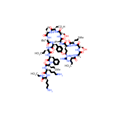 CC[C@H](C)[C@H](NC(=O)[C@H](CC(C)C)NC(=O)[C@H](CC(=O)O)NC(=O)[C@H](CO)NC(=O)[C@@H](NC(=O)[C@H](CCCNC(=N)N)NC(=O)[C@H](CCSC)NC(=O)[C@H](CO)NC(=O)[C@H](C)NC(=O)[C@@H](N)CCC(=O)O)C(C)C)C(=O)N[C@@H](Cc1ccc(O)cc1)C(=O)N[C@@H](CCC(=O)O)C(=O)N[C@@H](Cc1ccccc1)C(=O)N[C@@H](CCSC)C(=O)N[C@@H](CCCCN)C(=O)N[C@@H](CCCCN)C(=O)NCC(=O)O